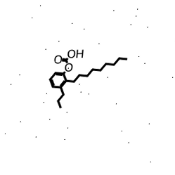 CCCCCCCCCc1c(CCC)cccc1OC(=O)O